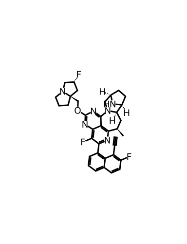 C#Cc1c(F)ccc2cccc(-c3nc4c5c(nc(OC[C@@]67CCCN6C[C@H](F)C7)nc5c3F)N3C[C@H]5CC[C@H](N5)[C@H]3C[C@H]4C)c12